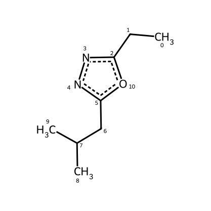 CCc1nnc(CC(C)C)o1